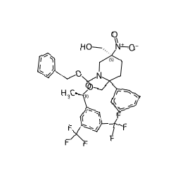 C[C@@H](OCC1(c2ccccc2)CC[C@](CO)([N+](=O)[O-])CN1C(=O)OCc1ccccc1)c1cc(C(F)(F)F)cc(C(F)(F)F)c1